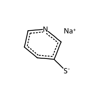 [Na+].[S-]c1cccnc1